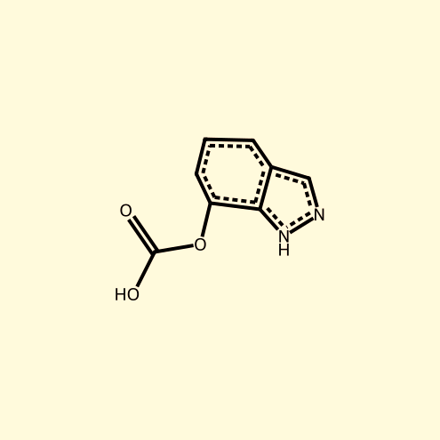 O=C(O)Oc1cccc2cn[nH]c12